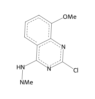 CNNc1nc(Cl)nc2c(OC)cccc12